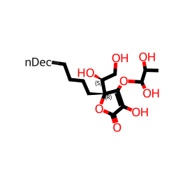 CCCCCCCCCCCCCC[C@]1([C@@H](O)CO)OC(=O)C(O)=C1OC(O)C(C)O